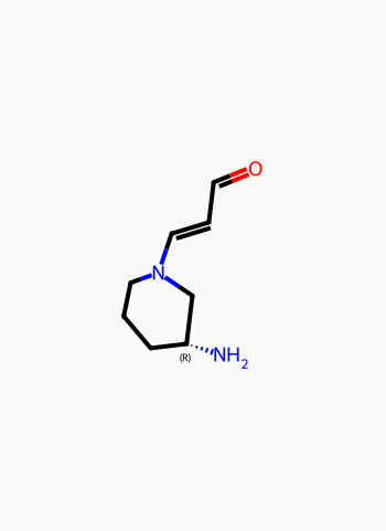 N[C@@H]1CCCN(C=CC=O)C1